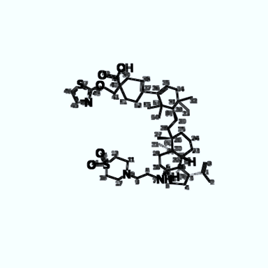 C=C(C)[C@@H]1CC[C@]2(NCCN3CCS(=O)(=O)CC3)CC[C@]3(C)[C@H](CCC[C@@]3(C)CC[C@@H]3C(C)(C)CC=C(C4=CCC(COc5nccs5)(C(=O)O)CC4)C3(C)C)[C@@H]12